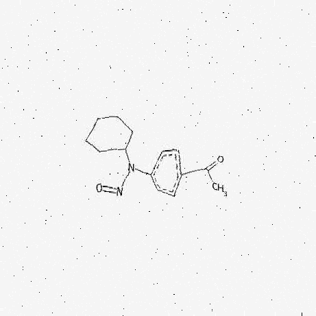 CC(=O)c1ccc(N(N=O)C2CCCCC2)cc1